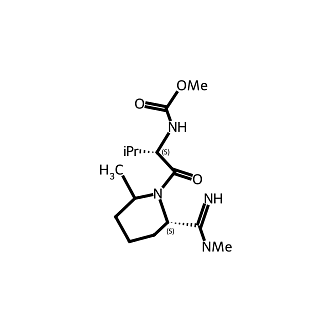 CNC(=N)[C@@H]1CCCC(C)N1C(=O)[C@@H](NC(=O)OC)C(C)C